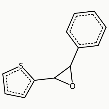 c1ccc(C2OC2c2cccs2)cc1